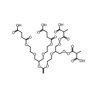 C=C(OCCOC(COOC(=O)C(C)C(=O)O)COOC(=O)C(C)C(=O)O)OC(COCCOC(=O)CCC(=O)O)COCCOC(=O)CCC(=O)O